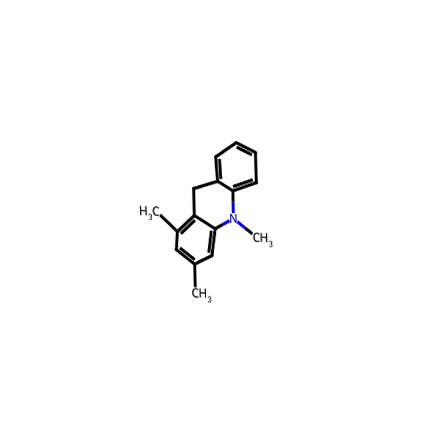 Cc1cc(C)c2c(c1)N(C)c1ccccc1C2